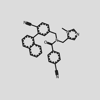 Cn1cncc1CN(Cc1ccc(C#N)c(-c2cccc3ccccc23)c1)C(=O)c1ccc(C#N)cc1